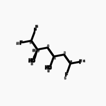 OC(CC(F)F)C[C@@H](O)C(F)F